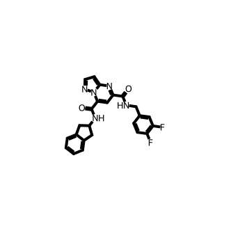 O=C(NCc1ccc(F)c(F)c1)c1cc(C(=O)NC2Cc3ccccc3C2)n2nccc2n1